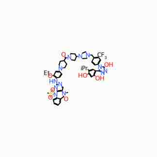 CCOc1cc(N2CCC(C(=O)N3CCC(N4CCN(Cc5ccc(-n6c(O)nnc6-c6cc(C(C)C)c(O)cc6O)cc5C(F)(F)F)CC4)CC3)CC2)ccc1Nc1ncc2c(n1)N(S(C)(=O)=O)c1ccccc1C(=O)N2C